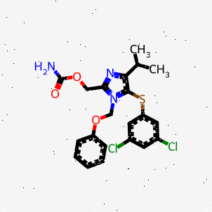 CC(C)c1nc(COC(N)=O)n(COc2ccccc2)c1Sc1cc(Cl)cc(Cl)c1